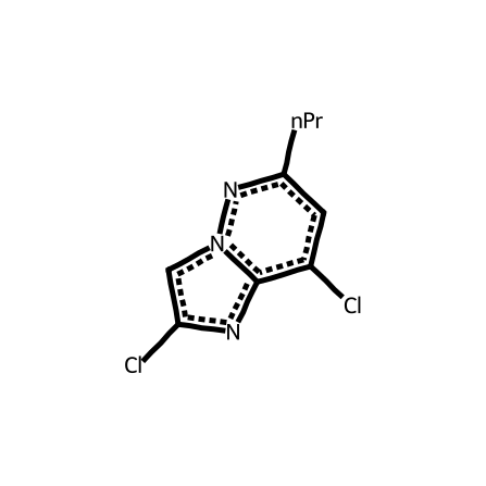 CCCc1cc(Cl)c2nc(Cl)cn2n1